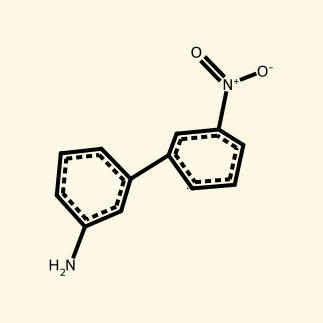 Nc1cccc(-c2[c]ccc([N+](=O)[O-])c2)c1